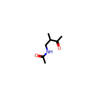 CC(=O)NCC(C)C(C)=O